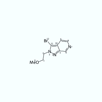 COCCn1nc2cnccc2c1Br